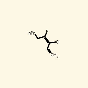 C=C/C(Cl)=C(/F)CCCC